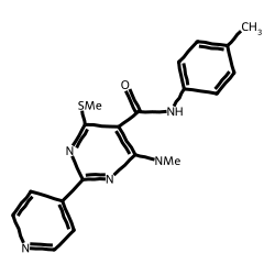 CNc1nc(-c2ccncc2)nc(SC)c1C(=O)Nc1ccc(C)cc1